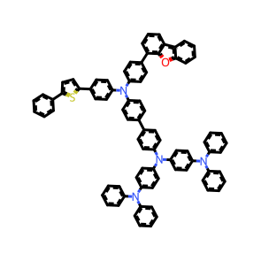 c1ccc(-c2ccc(-c3ccc(N(c4ccc(-c5ccc(N(c6ccc(N(c7ccccc7)c7ccccc7)cc6)c6ccc(N(c7ccccc7)c7ccccc7)cc6)cc5)cc4)c4ccc(-c5cccc6c5oc5ccccc56)cc4)cc3)s2)cc1